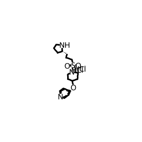 Cl.Cl.O=S(=O)(CCC[C@@H]1CCCN1)N1CCC(Oc2ccncc2)CC1